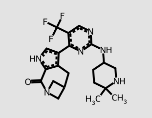 CC1(C)CCC(Nc2ncc(C(F)(F)F)c(-c3c[nH]c4c3CC3CN(C3)C4=O)n2)CN1